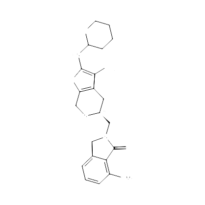 COc1cccc2c1C(=O)N(C[C@@H]1Cc3c(sc(NC4CCCCO4)c3C(=O)O)CN1)C2